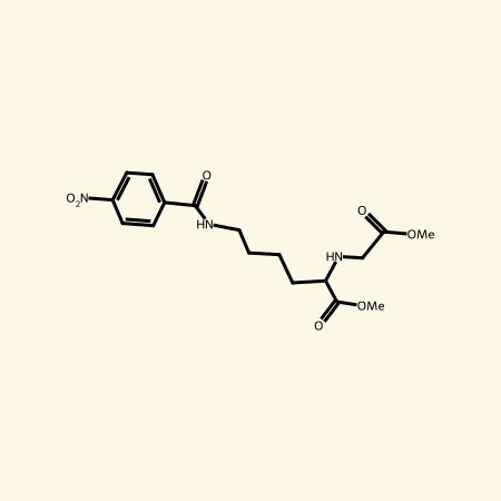 COC(=O)CNC(CCCCNC(=O)c1ccc([N+](=O)[O-])cc1)C(=O)OC